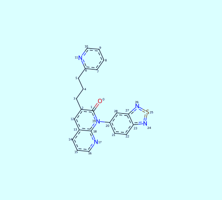 O=c1c(CCCc2ccccn2)cc2cccnc2n1-c1ccc2nsnc2c1